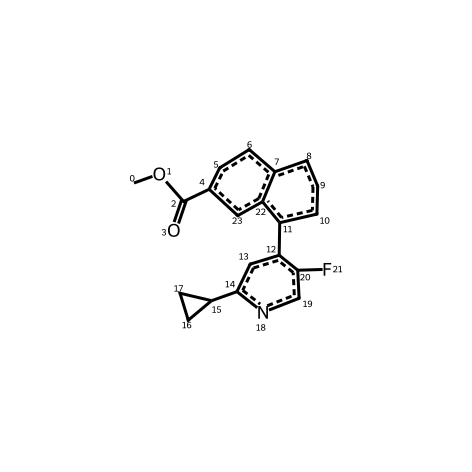 COC(=O)c1ccc2cccc(-c3cc(C4CC4)ncc3F)c2c1